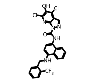 O=C(Nc1ccc(NCc2ccccc2C(F)(F)F)c2ccccc12)n1ncc2c(Cl)c(O)c(Cl)nc21